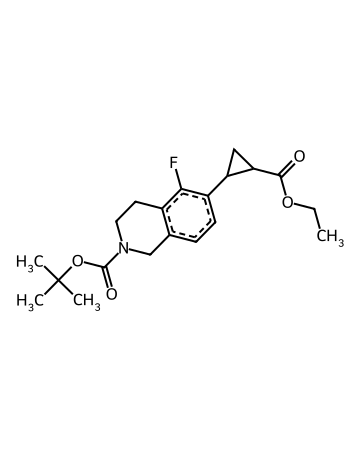 CCOC(=O)C1CC1c1ccc2c(c1F)CCN(C(=O)OC(C)(C)C)C2